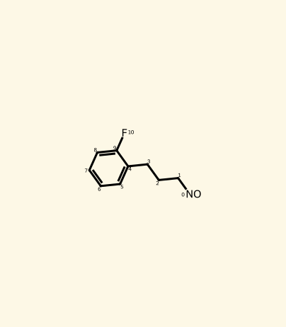 O=NCCCc1ccccc1F